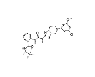 COc1nc(Cl)cc(N2CCc3nc(NC(=O)Nc4ccccc4C(=O)NC(C)C(F)(F)F)sc3C2)n1